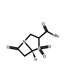 CCCCC(=O)C1CN2C(=O)C[C@H]2S1(=O)=O